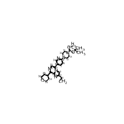 C=Cc1cn2c(-c3ccc(N4CCN(C(=O)OC(C)(C)C)CC4)nc3)cnc(C3CCOCC3)c2n1